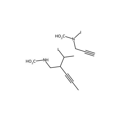 C#CCN(I)C(=O)O.CC#CC(CNC(=O)O)C(C)I